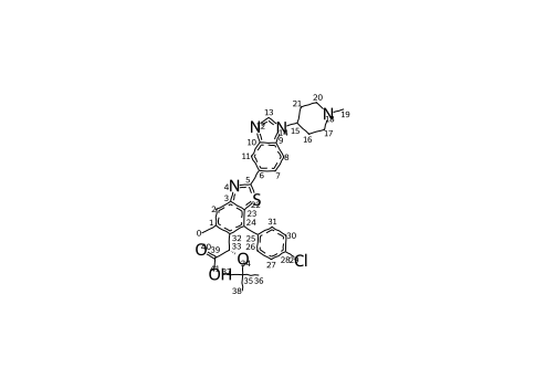 Cc1cc2nc(-c3ccc4c(c3)ncn4C3CCN(C)CC3)sc2c(-c2ccc(Cl)cc2)c1[C@H](OC(C)(C)C)C(=O)O